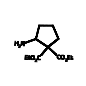 CCOC(=O)C1(C(=O)OCC)CCCC1N